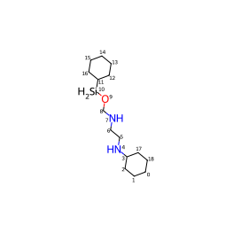 C1CCC(NCCNCO[SiH2]C2CCCCC2)CC1